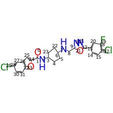 O=C(NC1CCC(NCc2nnc(-c3ccc(Cl)c(F)c3)o2)CC1)c1cc2cc(Cl)ccc2o1